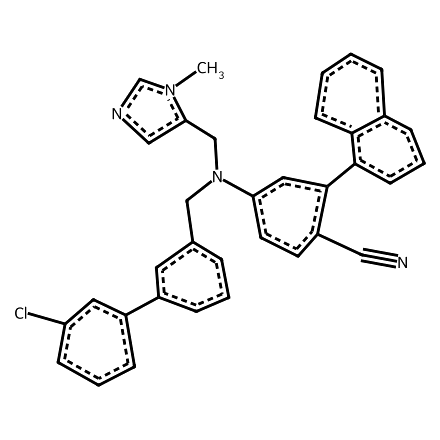 Cn1cncc1CN(Cc1cccc(-c2cccc(Cl)c2)c1)c1ccc(C#N)c(-c2cccc3ccccc23)c1